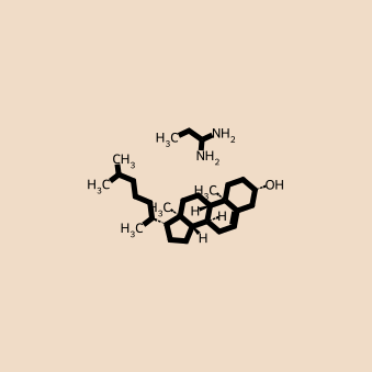 CC(C)CCCC(C)[C@H]1CC[C@H]2[C@@H]3CC=C4C[C@@H](O)CC[C@]4(C)[C@H]3CC[C@]12C.CCC(N)N